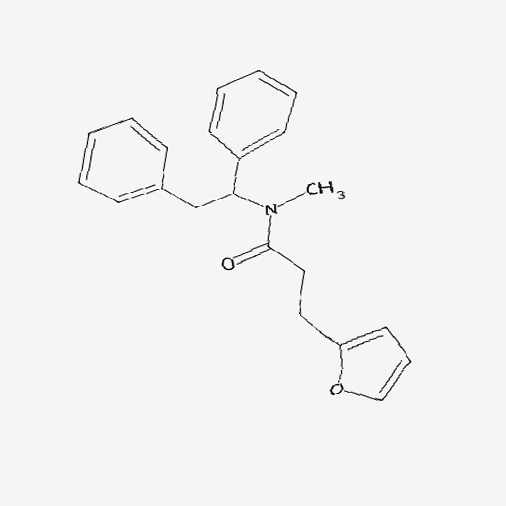 CN(C(=O)CCc1ccco1)C(Cc1ccccc1)c1ccccc1